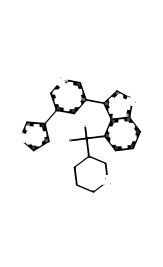 CC(Cl)(c1cccc2[nH]cc(-c3cncc(-c4ccsc4)c3)c12)C1CCCNC1